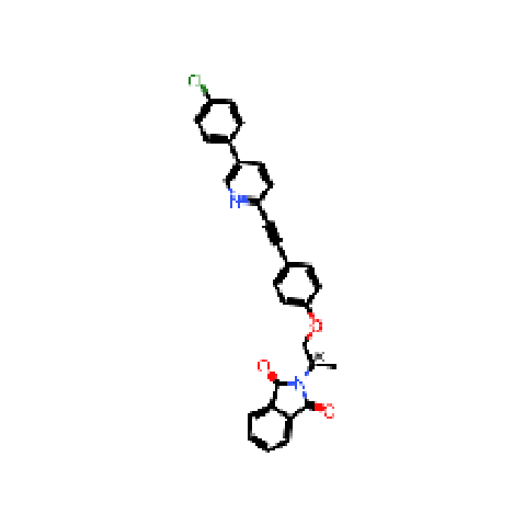 C[C@H](COc1ccc(C#Cc2ccc(-c3ccc(Cl)cc3)cn2)cc1)N1C(=O)c2ccccc2C1=O